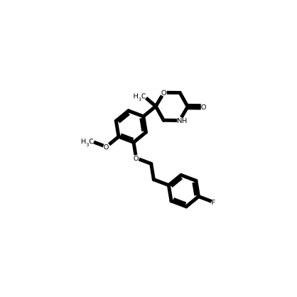 COc1ccc(C2(C)CNC(=O)CO2)cc1OCCc1ccc(F)cc1